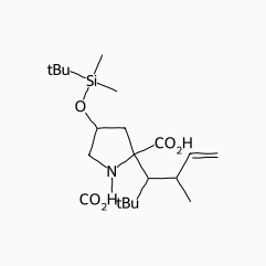 C=CC(C)C(C(C)(C)C)C1(C(=O)O)CC(O[Si](C)(C)C(C)(C)C)CN1C(=O)O